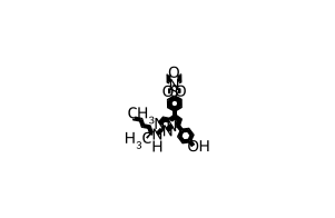 CCCCC[C@H](C)Nc1ncc2c(-c3ccc(S(=O)(=O)N4CCOCC4)cc3)cc(C3CCC(O)CC3)n2n1